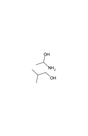 CC(C)CO.CC(N)O